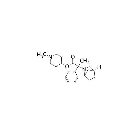 CN1CCC(OC(=O)C(C)(c2ccccc2)N2C[C@H]3CCC2C3)CC1